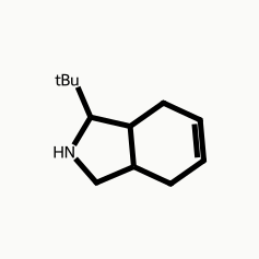 CC(C)(C)C1NCC2CC=CCC21